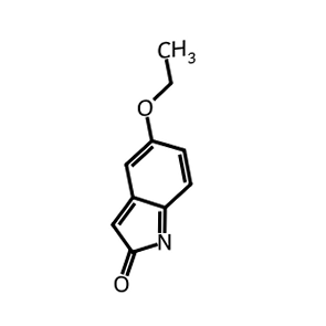 CCOc1ccc2c(c1)=CC(=O)N=2